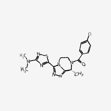 C[C@@H]1c2nnc(-c3nc(N(C)C)ns3)n2CCN1C(=O)c1ccc(Cl)cc1